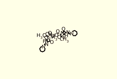 CC1(C)S[C@@H]2[C@H](N=CN3CCCCCC3)C(=O)N2[C@H]1C(=O)OCOC(=O)[C@@H]1N2C(=O)[C@@H](N=CN3CCCCCC3)[C@H]2SC1(C)C